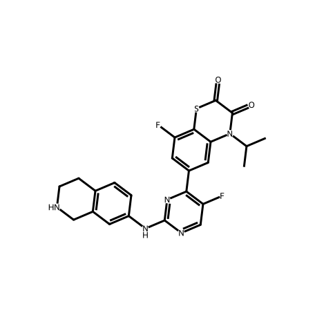 CC(C)n1c(=O)c(=O)sc2c(F)cc(-c3nc(Nc4ccc5c(c4)CNCC5)ncc3F)cc21